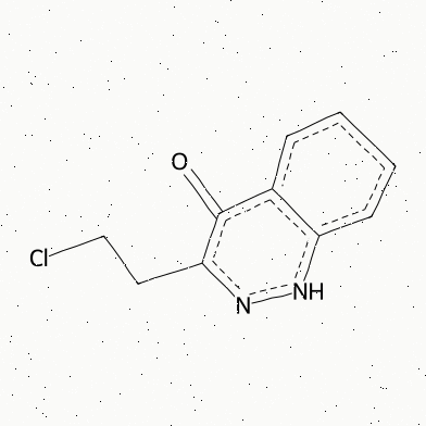 O=c1c(CCCl)n[nH]c2ccccc12